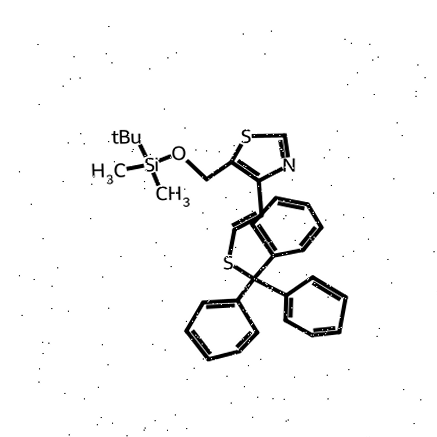 CC(C)(C)[Si](C)(C)OCc1scnc1C=CSC(c1ccccc1)(c1ccccc1)c1ccccc1